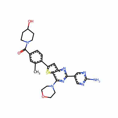 Cc1cc(C(=O)N2CCC(O)CC2)ccc1-c1cc2nc(-c3cnc(N)nc3)nc(N3CCOCC3)c2s1